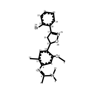 COc1cc(N=C(C)N(C)C)c(C)cc1C1CC(c2ccccc2Br)=NO1